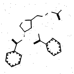 CC(=O)OSCC1OC[C@H](OC(=O)c2ccccc2)[C@H]1OC(=O)c1ccccc1